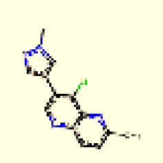 COc1ccc2ncc(-c3cnn(C)c3)c(Cl)c2n1